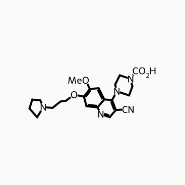 COc1cc2c(N3CCN(C(=O)O)CC3)c(C#N)cnc2cc1OCCCN1CCCC1